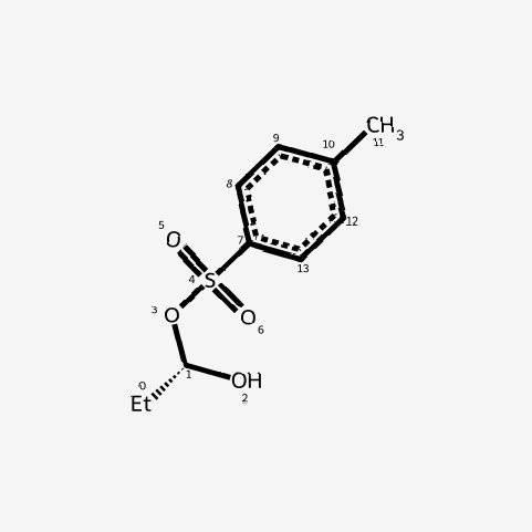 CC[C@@H](O)OS(=O)(=O)c1ccc(C)cc1